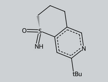 CC(C)(C)c1cc2c(cn1)CCC[S@]2(=N)=O